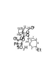 CCC1CC2CC(C1)CC(OC(=O)C1=C3C(=O)OC4C3CC1C4OC(=O)C(F)(F)S(=O)(=O)O)C2